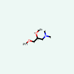 CC(C)OCC(CN(C)C)OC(C)C